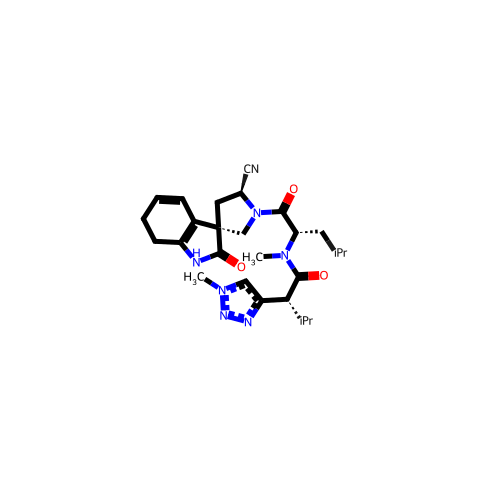 CC(C)C[C@@H](C(=O)N1C[C@]2(C[C@H]1C#N)C(=O)NC1=C2C=CCC1)N(C)C(=O)[C@@H](c1cn(C)nn1)C(C)C